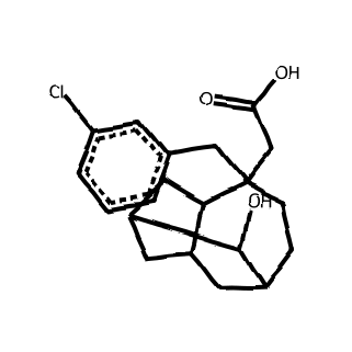 O=C(O)CC1(Cc2cccc(Cl)c2)CCC2CC3CC(CC31)C2O